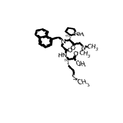 CSCC[C@H](NC(=O)CN(Cc1cccc2ccccc12)C(C(=O)CN(C)C)[C@@H]1CCCN1)C(=O)O